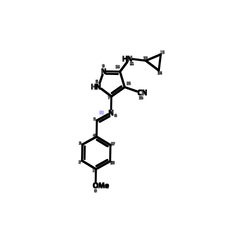 COc1ccc(/C=N/c2[nH]nc(NC3CC3)c2C#N)cc1